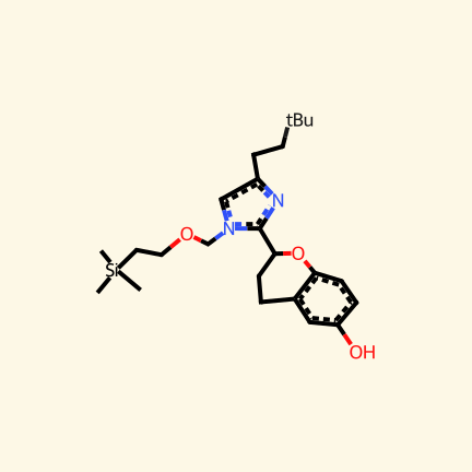 CC(C)(C)CCc1cn(COCC[Si](C)(C)C)c(C2CCc3cc(O)ccc3O2)n1